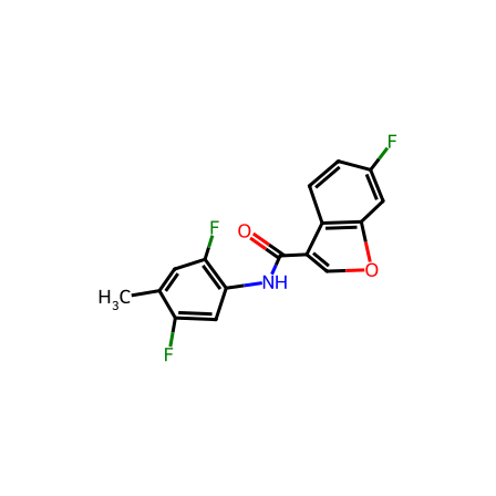 Cc1cc(F)c(NC(=O)c2coc3cc(F)ccc23)cc1F